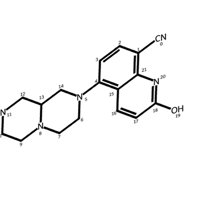 N#Cc1ccc(N2CCN3CCNCC3C2)c2ccc(O)nc12